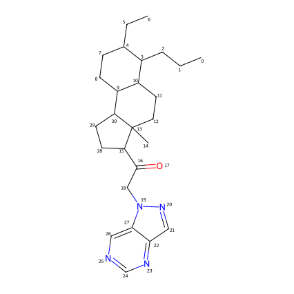 CCCC1C(CC)CCC2C1CCC1(C)C(C(=O)Cn3ncc4ncncc43)CCC21